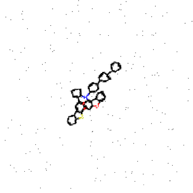 c1ccc(-c2ccc(-c3ccc(N(c4ccccc4-c4ccc5sc6ccccc6c5c4)c4cccc5oc6ccccc6c45)cc3)cc2)cc1